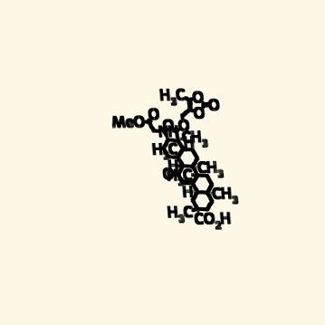 COC(=O)CN[C@H]1CC[C@@]2(C)[C@@H](CC[C@]3(C)[C@@H]2C(=O)C=C2[C@@H]4C[C@@](C)(C(=O)O)CC[C@]4(C)CC[C@]23C)[C@]1(C)C(=O)OCc1oc(=O)oc1C